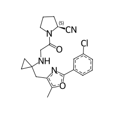 Cc1oc(-c2cccc(Cl)c2)nc1CC1(NCC(=O)N2CCC[C@H]2C#N)CC1